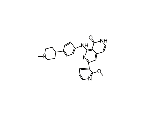 COc1ncccc1-c1cc2cc[nH]c(=O)c2c(Nc2ccc(C3CCN(C)CC3)cc2)n1